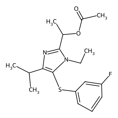 CCn1c(C(C)OC(C)=O)nc(C(C)C)c1Sc1cccc(F)c1